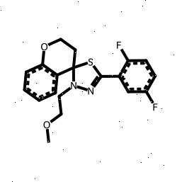 COCCN1N=C(c2cc(F)ccc2F)SC12CCOc1ccccc12